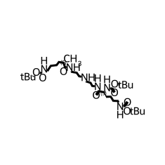 C[C@@H](CCCCNC(=O)OC(C)(C)C)C(=O)NCCCNCCCNC(=O)[C@H](CCCCNC(=O)OC(C)(C)C)NC(=O)OC(C)(C)C